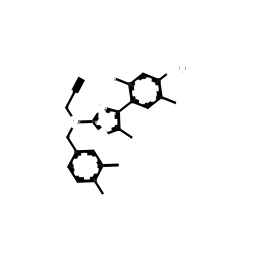 C#CCN(Cc1ccc(C)c(C)c1)c1nc(-c2cc(C)c(OC)cc2Cl)c(C)s1